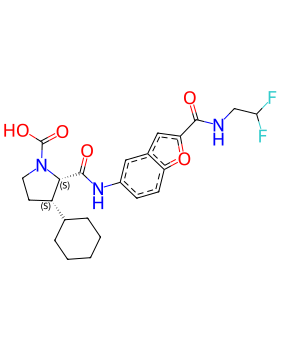 O=C(NCC(F)F)c1cc2cc(NC(=O)[C@@H]3[C@H](C4CCCCC4)CCN3C(=O)O)ccc2o1